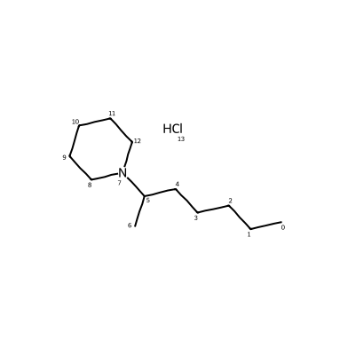 CCCCCC(C)N1CCCCC1.Cl